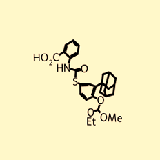 CCOC(OC)Oc1ccc(SC(=O)Nc2ccccc2C(=O)O)cc1C12CC3CC(CC(C3)C1)C2